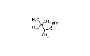 CCCOC(C)[N+](C)(C)C